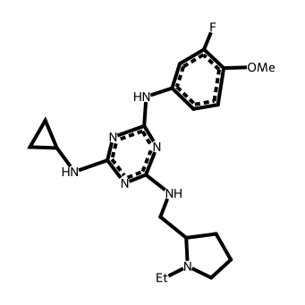 CCN1CCCC1CNc1nc(Nc2ccc(OC)c(F)c2)nc(NC2CC2)n1